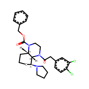 O=C(Cc1ccc(Cl)c(Cl)c1)N1CCN(C(=O)OCc2ccccc2)[C@H]2CCC[C@H](N3CCCC3)[C@H]21